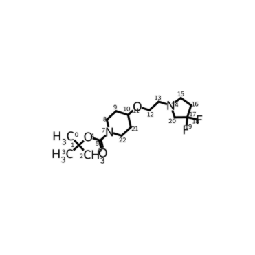 CC(C)(C)OC(=O)N1CCC(OCCN2CCC(F)(F)C2)CC1